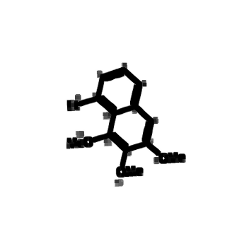 CCc1cccc2cc(OC)c(OC)c(OC)c12